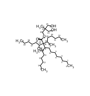 CCCCCCCCC(C(C)CCCCC)C(C(=O)OCC(C)(CO)CO)(C(C)CCCCC)C(C)CCCCC